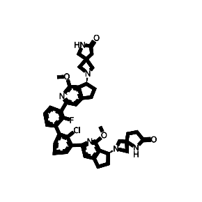 COc1nc(-c2cccc(-c3cccc(-c4cc5c(c(OC)n4)[C@H](N4CC6(CCC(=O)N6)C4)CC5)c3Cl)c2F)cc2c1[C@H](N1CC3(CNC(=O)C3)C1)CC2